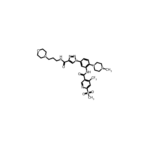 CN1CCN(c2ccc(-n3cc(C(=O)NCCCN4CCOCC4)nn3)cc2NC(=O)c2cnc(S(C)(=O)=O)cc2C(F)(F)F)CC1